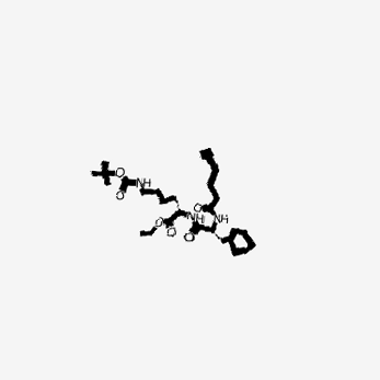 C#CCCCC(=O)N[C@H](Cc1ccccc1)C(=O)N[C@@H](CCCCNC(=O)OC(C)(C)C)C(=O)OCC